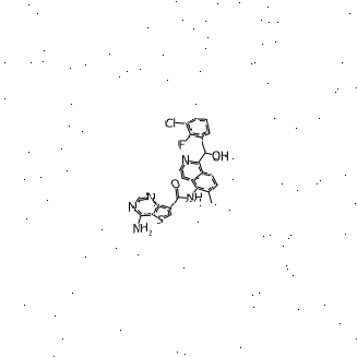 Cc1ccc2c(C(O)c3cccc(Cl)c3F)nccc2c1NC(=O)c1csc2c(N)ncnc12